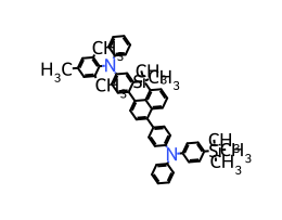 Cc1cc(C)c(N(c2ccccc2)c2ccc3c(c2)[Si](C)(C)c2cccc4c(-c5ccc(N(c6ccccc6)c6ccc([Si](C)(C)C)cc6)cc5)ccc-3c24)c(C)c1